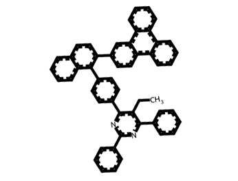 CCc1c(-c2ccccc2)nc(-c2ccccc2)nc1-c1ccc(-c2c(-c3ccc4c5ccccc5c5ccccc5c4c3)ccc3ccccc23)cc1